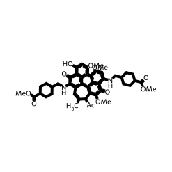 COC(=O)C1CCC(CNc2c3c4c5c(c(OC)c(=O)c6c(NCC7CCC(C(=O)OC)CC7)cc(OC)c(c7c(OC)cc(O)c(c2=O)c74)c65)C(C(C)=O)C(C)=C3)CC1